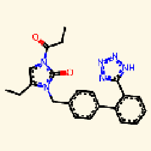 CCC(=O)n1cc(CC)n(Cc2ccc(-c3ccccc3-c3nnn[nH]3)cc2)c1=O